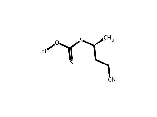 CCOC(=S)S[C@@H](C)CCC#N